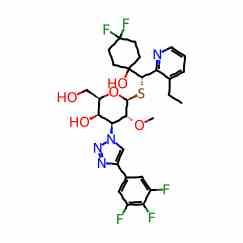 CCc1cccnc1[C@H](S[C@@H]1O[C@H](CO)[C@H](O)[C@H](n2cc(-c3cc(F)c(F)c(F)c3)nn2)[C@H]1OC)C1(O)CCC(F)(F)CC1